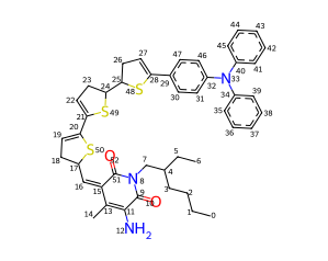 CCCCC(CC)CN1C(=O)C(N)=C(C)/C(=C/C2CC=C(C3=CCC(C4CC=C(c5ccc(N(c6ccccc6)c6ccccc6)cc5)S4)S3)S2)C1=O